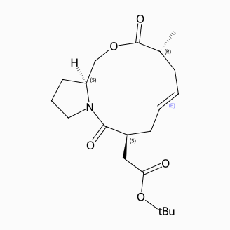 C[C@@H]1C/C=C/C[C@@H](CC(=O)OC(C)(C)C)C(=O)N2CCC[C@H]2COC1=O